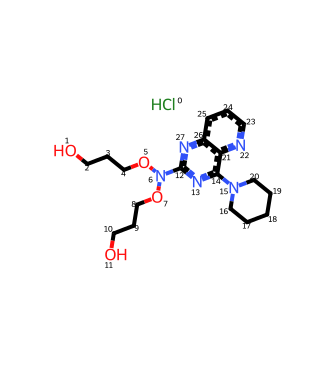 Cl.OCCCON(OCCCO)c1nc(N2CCCCC2)c2ncccc2n1